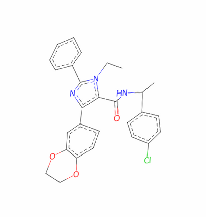 CCn1c(-c2ccccc2)nc(-c2ccc3c(c2)OCCO3)c1C(=O)NC(C)c1ccc(Cl)cc1